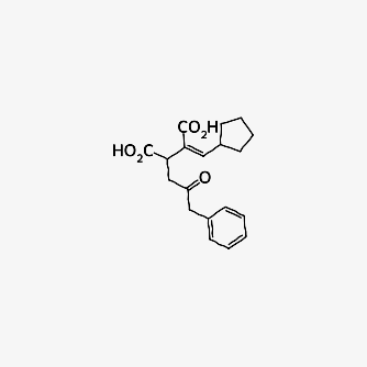 O=C(Cc1ccccc1)CC(C(=O)O)C(=CC1CCCC1)C(=O)O